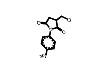 CCCc1ccc(N2C(=O)CC(CCl)C2=O)cc1